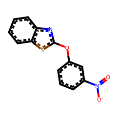 O=[N+]([O-])c1cccc(Oc2nc3ccccc3s2)c1